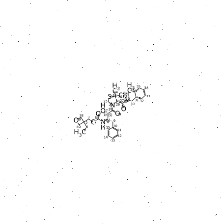 CCC1(COC(=O)N[C@@H](Cc2ccccc2)[C@H](O)C(=O)N2CSC(C)(C)[C@H]2C(=O)NCc2ccccc2C)COC1